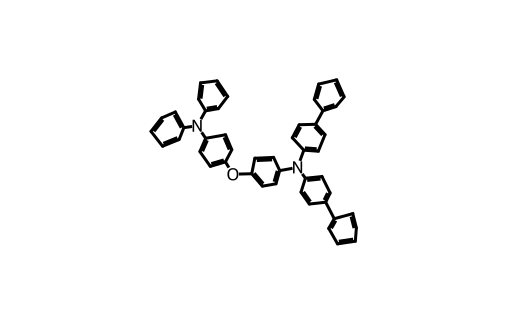 c1ccc(-c2ccc(N(c3ccc(Oc4ccc(N(c5ccccc5)c5ccccc5)cc4)cc3)c3ccc(-c4ccccc4)cc3)cc2)cc1